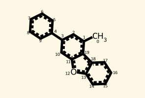 Cc1cc(-c2ccccc2)cc2oc3ccccc3c12